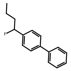 CCCC(F)c1ccc(-c2ccccc2)cc1